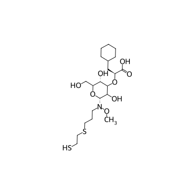 CON(CCCSCCS)[C@@H]1OC(CO)[C@H](O)C(O[C@@H](CC2CCCCC2)C(=O)O)C1O